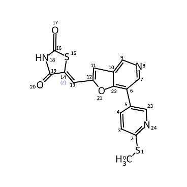 CSc1ccc(-c2cncc3cc(/C=C4\SC(=O)NC4=O)oc23)cn1